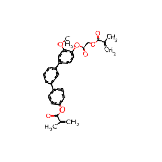 C=C(C)C(=O)OCC(=O)Oc1ccc(-c2cccc(-c3ccc(OC(=O)C(=C)C)cc3)c2)cc1OC